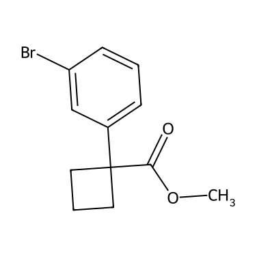 COC(=O)C1(c2cccc(Br)c2)CCC1